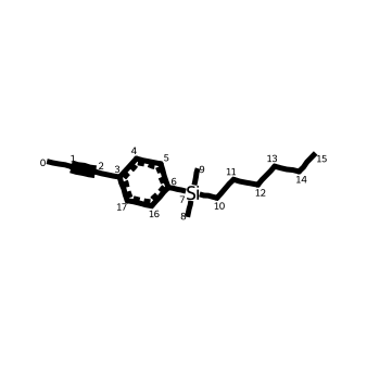 CC#Cc1ccc([Si](C)(C)CCCCCC)cc1